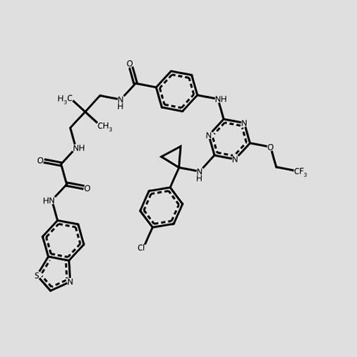 CC(C)(CNC(=O)C(=O)Nc1ccc2ncsc2c1)CNC(=O)c1ccc(Nc2nc(NC3(c4ccc(Cl)cc4)CC3)nc(OCC(F)(F)F)n2)cc1